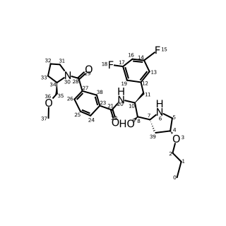 CCCO[C@H]1CN[C@@H]([C@@H](O)[C@H](Cc2cc(F)cc(F)c2)NC(=O)c2cccc(C(=O)N3CCC[C@@H]3COC)c2)C1